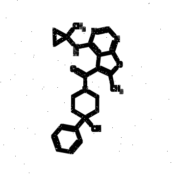 Cc1oc2ncnc(NC3(C)CC3)c2c1C(=O)N1CCC(C#N)(c2ccccc2)CC1